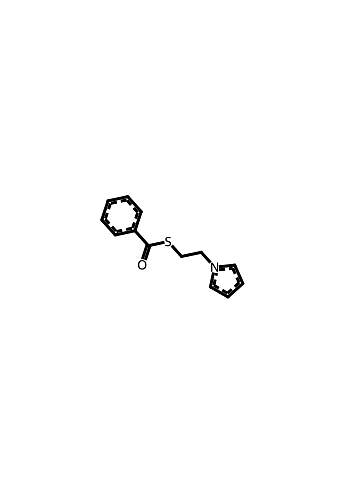 O=C(SCCn1cccc1)c1ccccc1